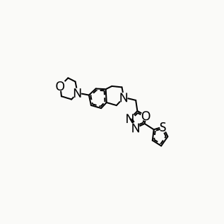 c1csc(-c2nnc(CN3CCc4cc(N5CCOCC5)ccc4C3)o2)c1